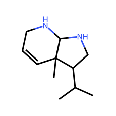 CC(C)C1CNC2NCC=CC21C